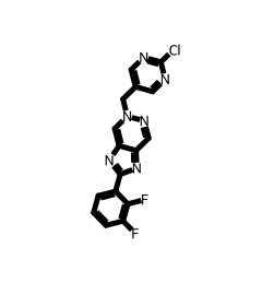 Fc1cccc(-c2nc3cnn(Cc4cnc(Cl)nc4)cc-3n2)c1F